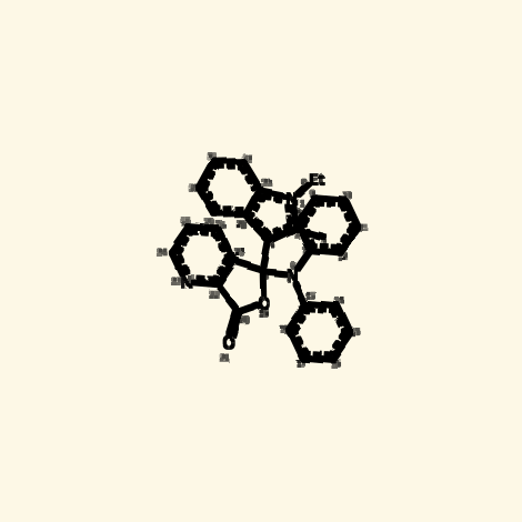 CCn1c(C)c(C2(N(c3ccccc3)c3ccccc3)OC(=O)c3ncccc32)c2ccccc21